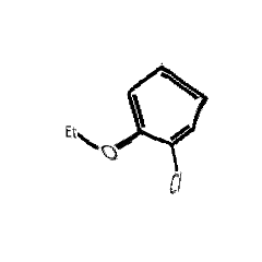 CCOc1c[c]ccc1Cl